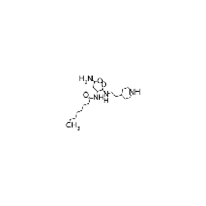 CCCCCCCC(=O)NC(CC(N)=O)C(=O)NCCC1CCNCC1